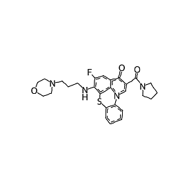 O=C(c1cn2c3c(c(NCCCN4CCOCC4)c(F)cc3c1=O)Sc1ccccc1-2)N1CCCC1